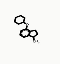 CC1CCc2c(OC3CCCCC3)cccc21